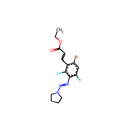 CCOC(=O)C=Cc1c(Br)cc(F)c(N=NN2CCCC2)c1F